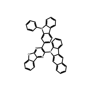 c1ccc(-n2c3ccccc3c3ccc(-c4nc5oc6ccccc6c5nc4-n4c5ccccc5c5cc6ccccc6cc54)cc32)cc1